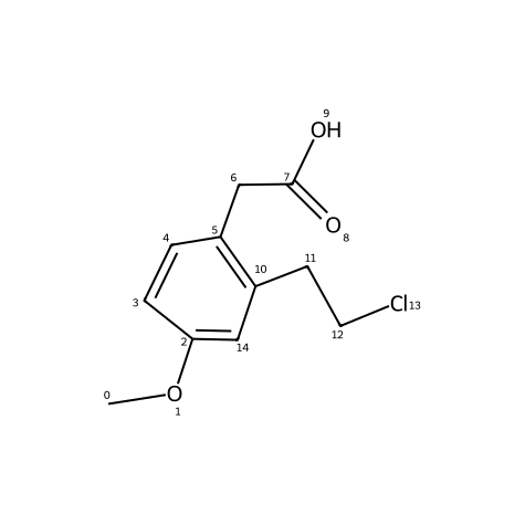 COc1ccc(CC(=O)O)c(CCCl)c1